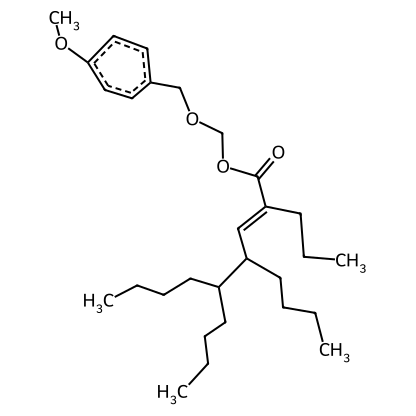 CCCCC(C=C(CCC)C(=O)OCOCc1ccc(OC)cc1)C(CCCC)CCCC